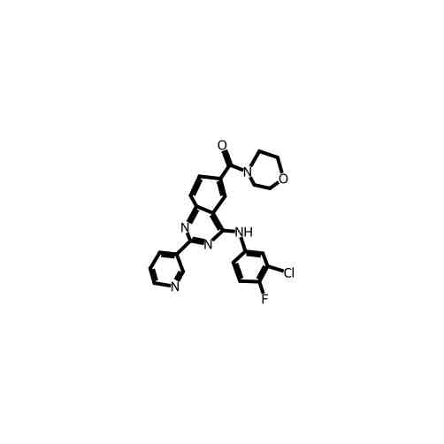 O=C(c1ccc2nc(-c3cccnc3)nc(Nc3ccc(F)c(Cl)c3)c2c1)N1CCOCC1